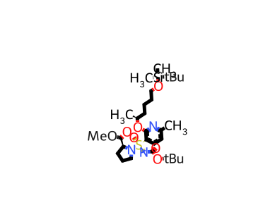 COC(=O)[C@@H]1CCCN1[S@@](=O)(=NC(=O)OC(C)(C)C)c1ccc(C)nc1O[C@H](C)CCCCO[Si](C)(C)C(C)(C)C